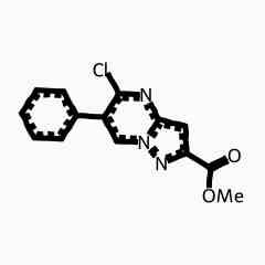 COC(=O)c1cc2nc(Cl)c(-c3ccccc3)cn2n1